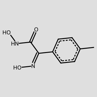 Cc1ccc(C(=NO)C(=O)NO)cc1